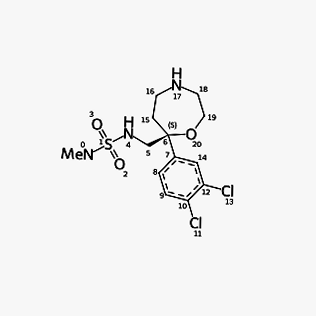 CNS(=O)(=O)NC[C@@]1(c2ccc(Cl)c(Cl)c2)CCNCCO1